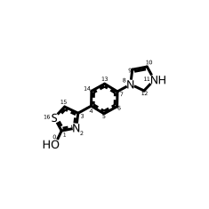 Oc1nc(-c2ccc(N3C=CNC3)cc2)cs1